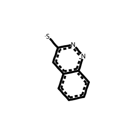 [S]c1cc2ccccc2nn1